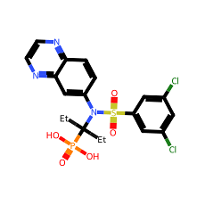 CCC(CC)(N(c1ccc2nccnc2c1)S(=O)(=O)c1cc(Cl)cc(Cl)c1)P(=O)(O)O